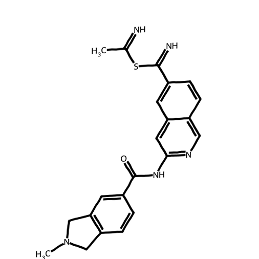 CC(=N)SC(=N)c1ccc2cnc(NC(=O)c3ccc4c(c3)CN(C)C4)cc2c1